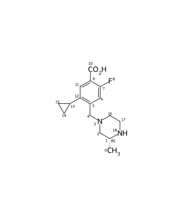 C[C@@H]1CN(Cc2cc(F)c(C(=O)O)cc2C2CC2)CCN1